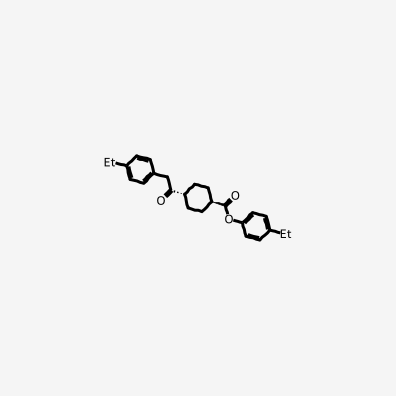 CCc1ccc(CC(=O)[C@H]2CC[C@H](C(=O)Oc3ccc(CC)cc3)CC2)cc1